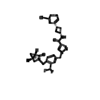 O=C(N[C@H]1C[C@@H](c2cccc(Cl)c2)C1)c1cnn(Cc2ccc(CN3C[C@@H]4C[C@@H]4C3=O)c(C(F)F)c2)c1